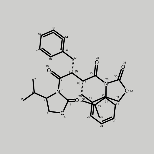 CC(C)C1COC(=O)N1C(=O)[C@H](CC1=C=C=CC=C1)[C@@H](CC1=CC=CCC1)C(=O)N1C(=O)OCC1C(C)C